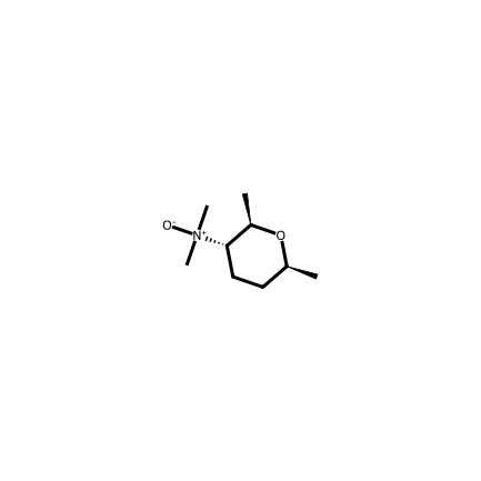 C[C@H]1CC[C@H]([N+](C)(C)[O-])[C@@H](C)O1